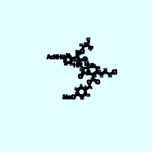 COc1ccc(COC(=O)C2=C(/C=C/CCl)CS[C@H]3[C@H](NC(=O)/C(=N\OCC(C)F)c4csc(NC(C)=O)n4)C(=O)N23)cc1